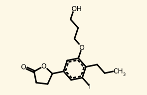 CCCc1c(I)cc(C2CCC(=O)O2)cc1OCCCO